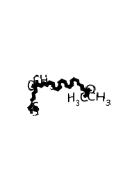 CC(C)C(=O)CCC/C=C\C/C=C\C/C=C\C/C=C\C/C=C\CCCC(C)C(=O)CCCC[C@@H]1CCSS1